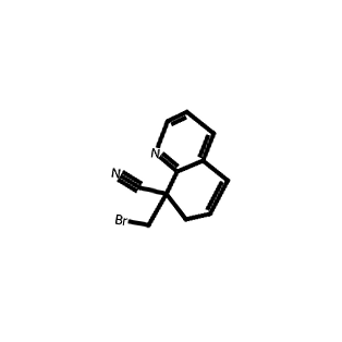 N#CC1(CBr)CC=Cc2cccnc21